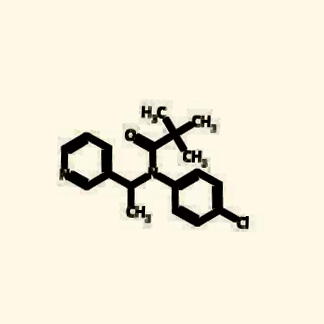 CC(c1cccnc1)N(C(=O)C(C)(C)C)c1ccc(Cl)cc1